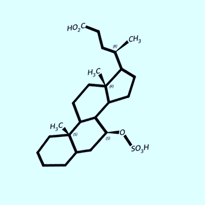 C[C@H](CCC(=O)O)C1CCC2C3C(CC[C@@]21C)[C@@]1(C)CCCCC1C[C@@H]3OS(=O)(=O)O